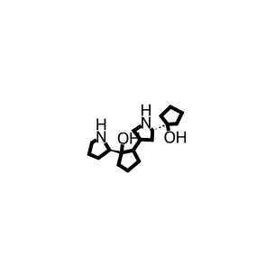 OC1([C@@H]2CC(C3CCCC3(O)[C@H]3CCCN3)CN2)CCCC1